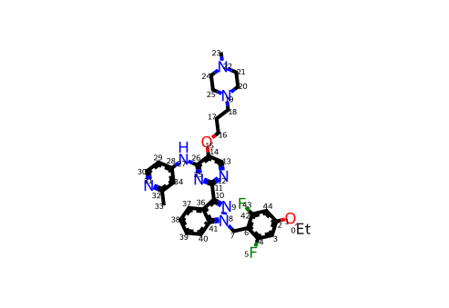 CCOc1cc(F)c(Cn2nc(-c3ncc(OCCCN4CCN(C)CC4)c(Nc4ccnc(C)c4)n3)c3ccccc32)c(F)c1